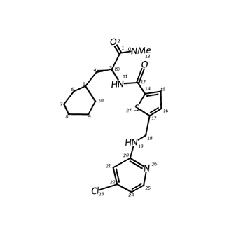 CNC(=O)[C@H](CC1CCCCC1)NC(=O)c1ccc(CNc2cc(Cl)ccn2)s1